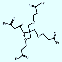 CC(C)C(=O)CCOCC(COCCC(=O)C(C)C)(COCCC(=O)C(C)C)NC(=O)CC(=O)C(C)C